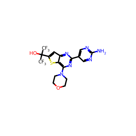 Nc1ncc(-c2nc(N3CCOCC3)c3sc(C(O)(C(F)(F)F)C(F)(F)F)cc3n2)cn1